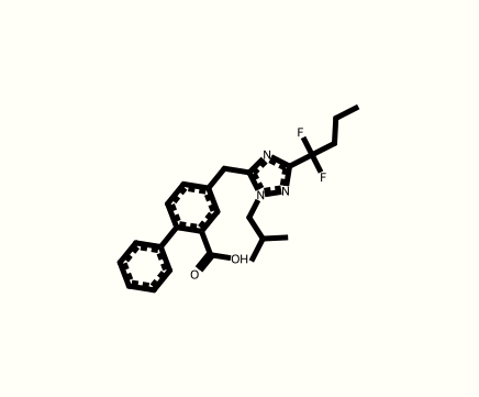 CCCC(F)(F)c1nc(Cc2ccc(-c3ccccc3)c(C(=O)O)c2)n(CC(C)C)n1